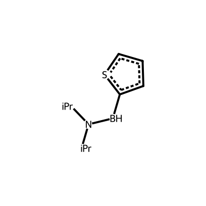 CC(C)N(Bc1cccs1)C(C)C